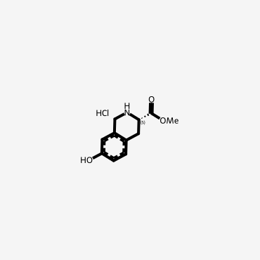 COC(=O)[C@@H]1Cc2ccc(O)cc2CN1.Cl